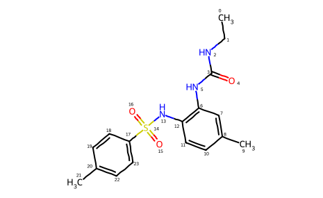 CCNC(=O)Nc1cc(C)ccc1NS(=O)(=O)c1ccc(C)cc1